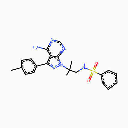 Cc1ccc(-c2nn(C(C)(C)CNS(=O)(=O)c3ccccc3)c3ncnc(N)c23)cc1